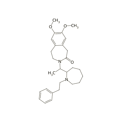 COc1cc2c(cc1OC)CC(=O)N(C(C)C1CCCCCN1CCc1ccccc1)CC2